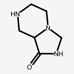 O=C1NCN2CCNCC12